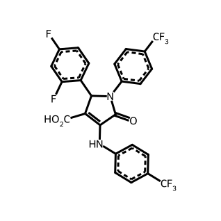 O=C(O)C1=C(Nc2ccc(C(F)(F)F)cc2)C(=O)N(c2ccc(C(F)(F)F)cc2)C1c1ccc(F)cc1F